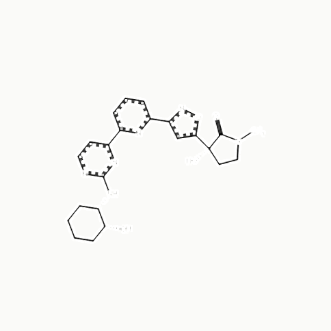 CN1CC[C@@](O)(c2cc(-c3cccc(-c4ccnc(N[C@H]5CCCC[C@H]5O)n4)n3)no2)C1=O